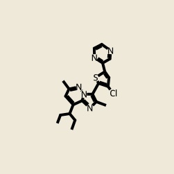 CCC(CC)c1cc(C)nn2c(-c3sc(-c4cnccn4)cc3Cl)c(C)nc12